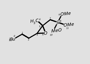 CCC(C)CCC1OC1(C)C[Si](OC)(OC)OC